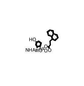 CC(=O)Nc1cc(O)ccc1[As](=O)(O)OC(=O)CCc1cccc2ccccc12